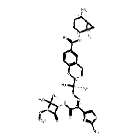 CC1(C)[C@H](NC(=O)/C(=N\O[C@](C)(C(=O)O)[C@H]2CCc3cc(C(=N)N[C@@H]4CC[C@H](N)C5C[C@H]54)ccc3O2)c2csc(N)n2)C(=O)N1OS(=O)(=O)O